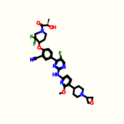 COc1nc(Nc2ncc(F)c(-c3ccc(OC4CCN(C(=O)[C@H](C)O)CC4(F)F)c(C#N)c3)n2)ccc1C1CCN(C2COC2)CC1